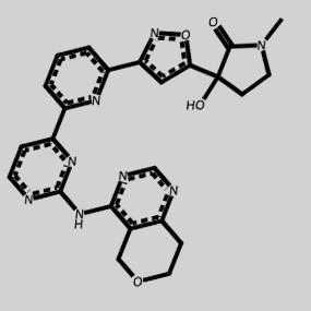 CN1CCC(O)(c2cc(-c3cccc(-c4ccnc(Nc5ncnc6c5COCC6)n4)n3)no2)C1=O